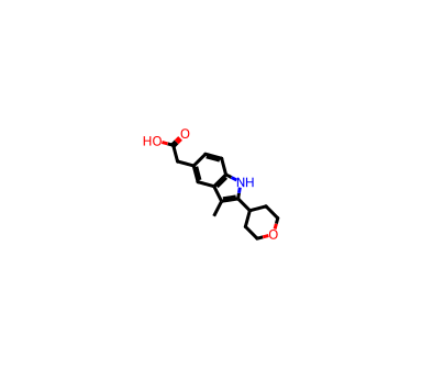 Cc1c(C2CCOCC2)[nH]c2ccc(CC(=O)O)cc12